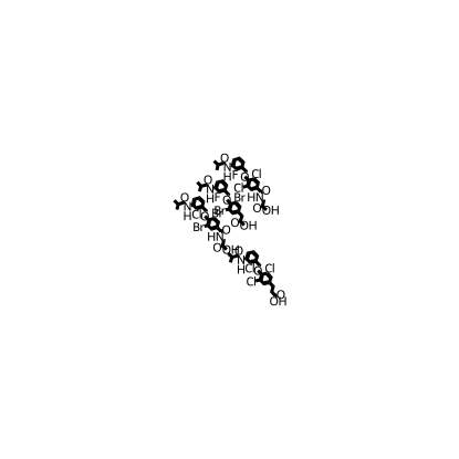 CC(C)C(=O)Nc1cccc(COc2c(Br)cc(C(=O)NCC(=O)O)cc2Br)c1Cl.CC(C)C(=O)Nc1cccc(COc2c(Br)cc(CC(=O)O)cc2Br)c1F.CC(C)C(=O)Nc1cccc(COc2c(Cl)cc(C(=O)NCC(=O)O)cc2Cl)c1F.CC(C)C(=O)Nc1cccc(COc2c(Cl)cc(CCC(=O)O)cc2Cl)c1Cl